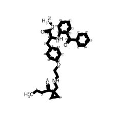 CCCC(=O)C1(CNCCOc2ccc(CC(Nc3ccccc3C(=O)c3ccccc3)C(=O)OC)cc2)CC1